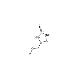 COCC1CNC(=O)N1